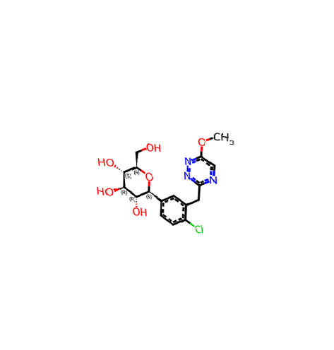 COc1cnc(Cc2cc([C@@H]3O[C@H](CO)[C@@H](O)[C@H](O)[C@H]3O)ccc2Cl)nn1